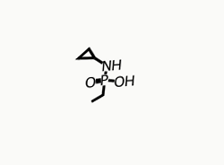 CCP(=O)(O)NC1CC1